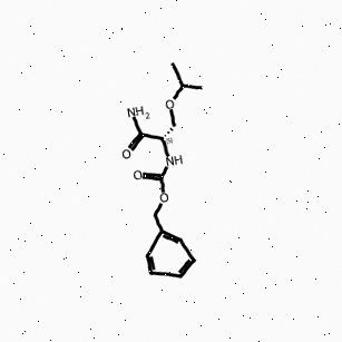 CC(C)OC[C@H](NC(=O)OCc1ccccc1)C(N)=O